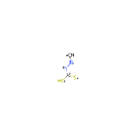 N#C/N=N/C(=S)S